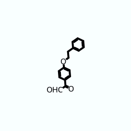 O=CC(=O)c1ccc(OCCc2ccccc2)cc1